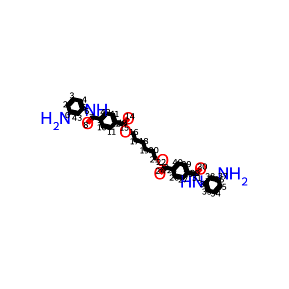 Nc1cccc(NC(=O)c2ccc(C(=O)OCCCCCCOC(=O)c3ccc(C(=O)Nc4cccc(N)c4)cc3)cc2)c1